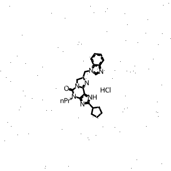 CCCN1C(=O)N2CC(Cn3cnc4ccccc43)N=C2c2[nH]c(C3CCCC3)nc21.Cl